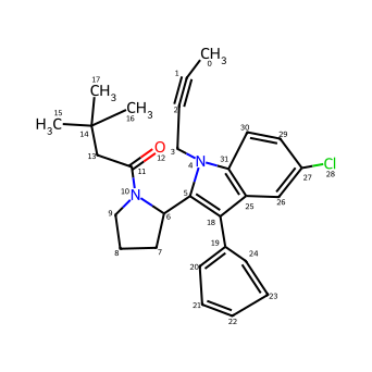 CC#CCn1c(C2CCCN2C(=O)CC(C)(C)C)c(-c2ccccc2)c2cc(Cl)ccc21